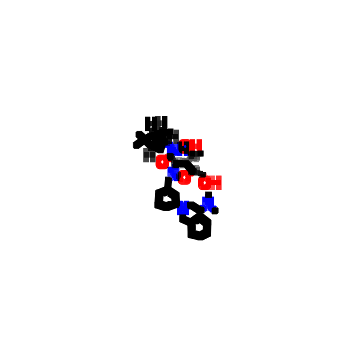 C[C@@H]1[C@@H](NC(=O)[C@@H]2[C@H]([C@H](C)O)[C@H](CO)ON2Cc2cccc(N(CCN(C)C)Cc3ccccc3)c2)C[C@H]2C[C@@H]1C2(C)C